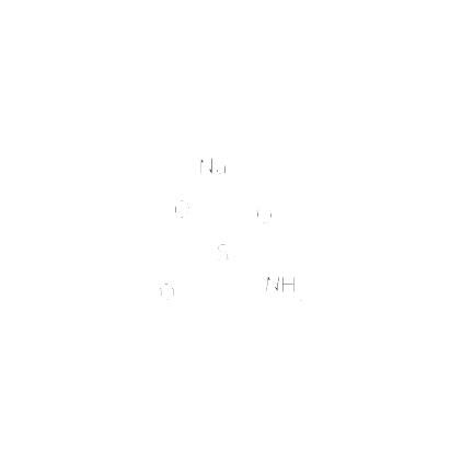 NS(=O)(=O)[O-].[Na+]